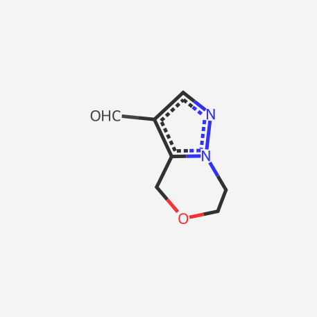 O=Cc1cnn2c1COCC2